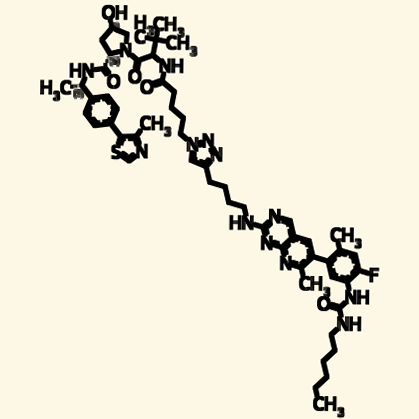 CCCCCCNC(=O)Nc1cc(-c2cc3cnc(NCCCCc4cn(CCCCC(=O)NC(C(=O)N5C[C@H](O)C[C@H]5C(=O)N[C@@H](C)c5ccc(-c6scnc6C)cc5)C(C)(C)C)nn4)nc3nc2C)c(C)cc1F